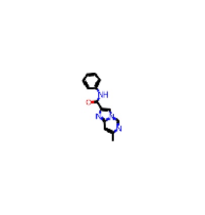 Cc1cc2nc(C(=O)Nc3ccccc3)cn2cn1